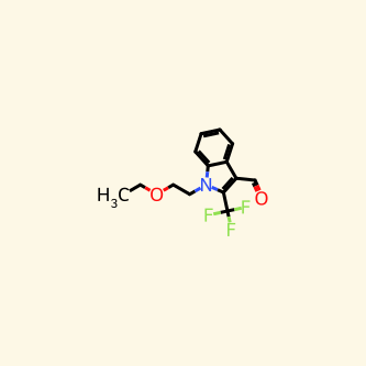 CCOCCn1c(C(F)(F)F)c(C=O)c2ccccc21